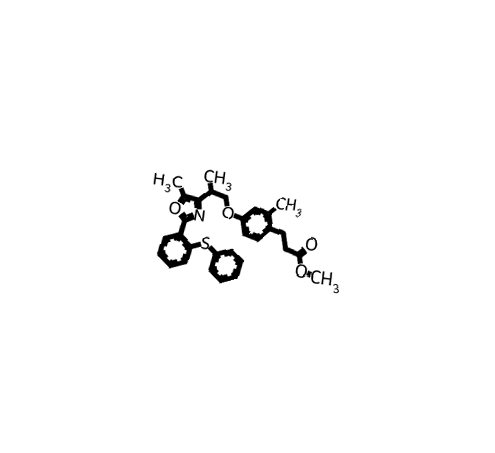 COC(=O)CCc1ccc(OCC(C)c2nc(-c3ccccc3Sc3ccccc3)oc2C)cc1C